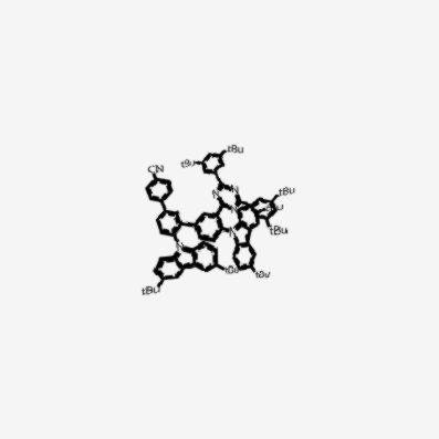 CC(C)(C)c1cc(-c2nc(-c3cc(C(C)(C)C)cc(C(C)(C)C)c3)nc(-c3cc(-c4cc(-c5ccc(C#N)cc5)ccc4-n4c5ccc(C(C)(C)C)cc5c5cc(C(C)(C)C)ccc54)ccc3-n3c4ccc(C(C)(C)C)cc4c4cc(C(C)(C)C)ccc43)n2)cc(C(C)(C)C)c1